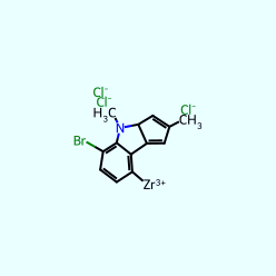 CC1=CC2C(=C1)c1[c]([Zr+3])ccc(Br)c1N2C.[Cl-].[Cl-].[Cl-]